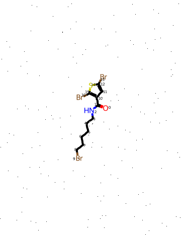 O=C(NCCCCCCBr)c1cc(Br)sc1Br